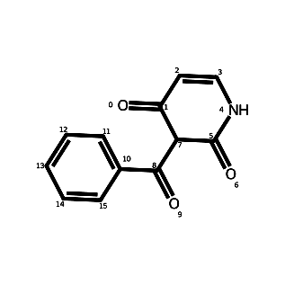 O=C1C=CNC(=O)C1C(=O)c1ccccc1